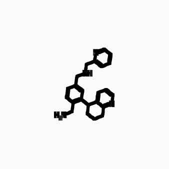 NCc1ccc(CNCc2ccccn2)cc1C1CCCc2ncccc21